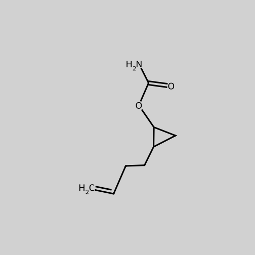 C=CCCC1CC1OC(N)=O